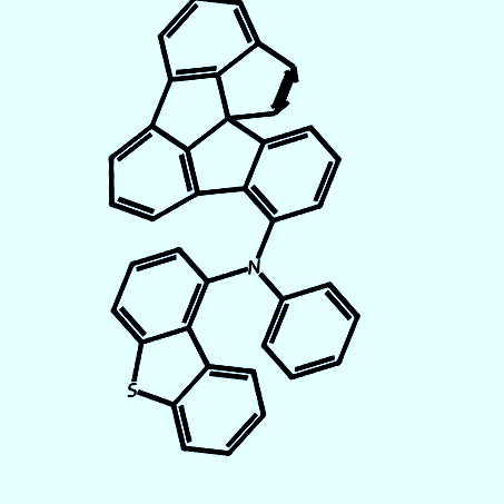 c1ccc(N(c2cccc3c2-c2cccc4c2C32c3ccccc3-c3cccc-4c32)c2cccc3sc4ccccc4c23)cc1